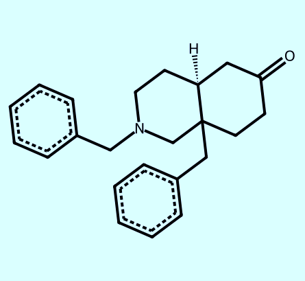 O=C1CCC2(Cc3ccccc3)CN(Cc3ccccc3)CC[C@H]2C1